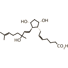 CC(C)=CCCC(C)(O)/C=C/[C@@H]1[C@@H](C/C=C\CCCC(=O)O)[C@@H](O)C[C@H]1O